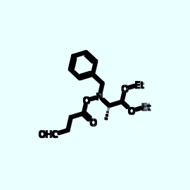 CCOC(OCC)[C@H](C)N(Cc1ccccc1)OC(=O)CCC=O